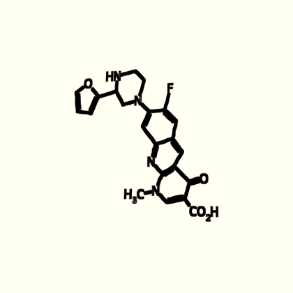 Cn1cc(C(=O)O)c(=O)c2cc3cc(F)c(N4CCNC(c5ccco5)C4)cc3nc21